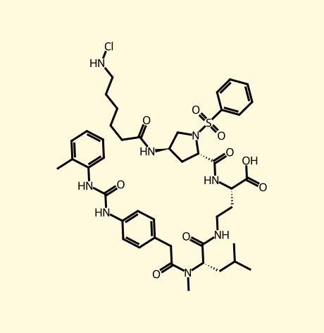 Cc1ccccc1NC(=O)Nc1ccc(CC(=O)N(C)[C@@H](CC(C)C)C(=O)NCC[C@H](NC(=O)[C@@H]2C[C@@H](NC(=O)CCCCCNCl)CN2S(=O)(=O)c2ccccc2)C(=O)O)cc1